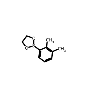 Cc1cccc(B2OCCO2)c1C